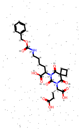 O=C(O)CC[C@@H](C(=O)O)N1C(=O)N(C(CCCCNC(=O)OCc2ccccc2)C(=O)O)C(=O)C2(CCC2)C1=O